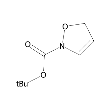 CC(C)(C)OC(=O)N1C=CCO1